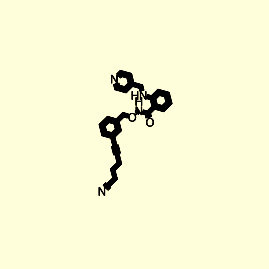 N#CCCCC#Cc1cccc(CONC(=O)c2ccccc2NCc2ccncc2)c1